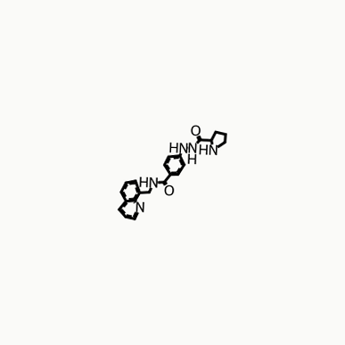 O=C(NCc1cccc2cccnc12)c1ccc(NNC(=O)C2CCCN2)cc1